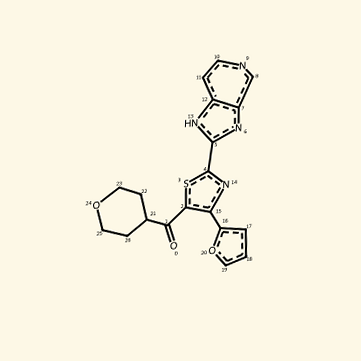 O=C(c1sc(-c2nc3cnccc3[nH]2)nc1-c1ccco1)C1CCOCC1